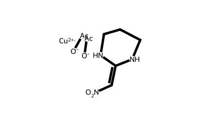 CC(=O)[O-].CC(=O)[O-].O=[N+]([O-])C=C1NCCCN1.[Cu+2]